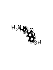 NCc1cn(-c2cc3ccc(O)cc3oc2=O)nn1